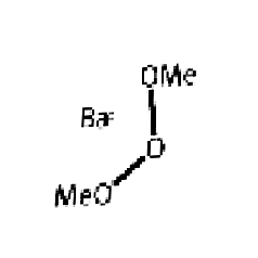 COOOC.[Ba]